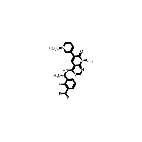 C[C@@H](Nc1ncnc2c1cc(C1=CCCN(C(=O)O)C1)c(=O)n2C)c1cccc(C(F)F)c1F